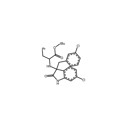 CC(C)CC(NC1(Cc2cccc(Cl)c2)C(=O)Nc2cc(Cl)ccc21)C(=O)OC(C)(C)C